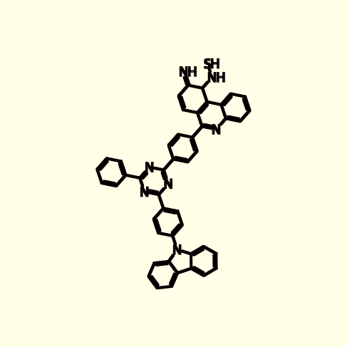 N=C1C=Cc2c(-c3ccc(-c4nc(-c5ccccc5)nc(-c5ccc(-n6c7ccccc7c7ccccc76)cc5)n4)cc3)nc3ccccc3c2C1NS